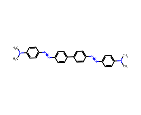 CN(C)c1ccc(/N=N/c2ccc(-c3ccc(/N=N/c4ccc(N(C)C)cc4)cc3)cc2)cc1